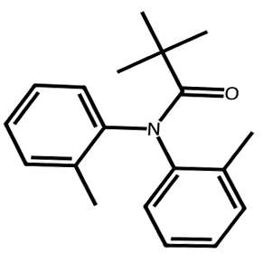 Cc1ccccc1N(C(=O)C(C)(C)C)c1ccccc1C